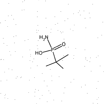 CC(C)(C)P(N)(=O)O